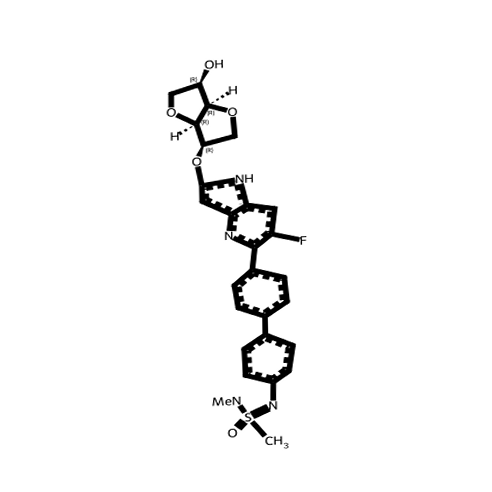 CNS(C)(=O)=Nc1ccc(-c2ccc(-c3nc4cc(O[C@@H]5CO[C@H]6[C@@H]5OC[C@H]6O)[nH]c4cc3F)cc2)cc1